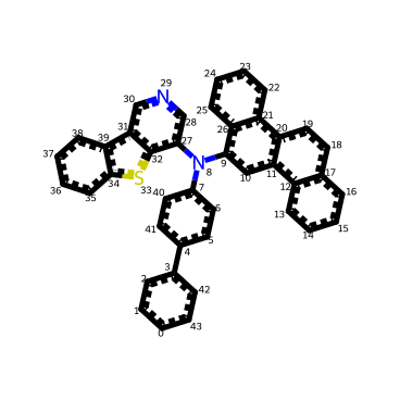 c1ccc(-c2ccc(N(c3cc4c5ccccc5ccc4c4ccccc34)c3cncc4c3sc3ccccc34)cc2)cc1